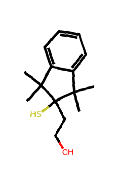 CC1(C)c2ccccc2C(C)(C)C1(S)CCO